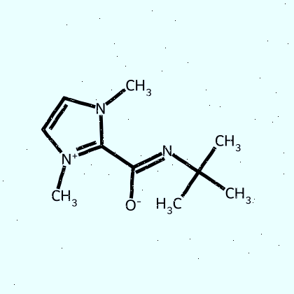 Cn1cc[n+](C)c1/C([O-])=N/C(C)(C)C